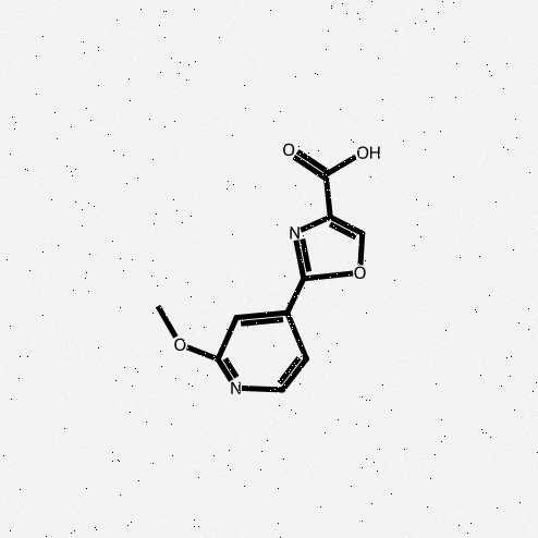 COc1cc(-c2nc(C(=O)O)co2)ccn1